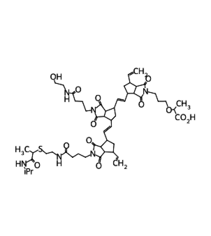 C=CC1CC(C=CC2CC(C=CC3CC(C=C)C4C(=O)N(CCCC(=O)NCCSC(C)C(=O)NC(C)C)C(=O)C34)C3C(=O)N(CCCC(=O)NCCO)C(=O)C23)C2C(=O)N(CCCOC(C)C(=O)O)C(=O)C12